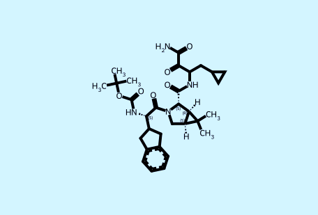 CC(C)(C)OC(=O)N[C@H](C(=O)N1C[C@H]2[C@@H]([C@H]1C(=O)NC(CC1CC1)C(=O)C(N)=O)C2(C)C)C1Cc2ccccc2C1